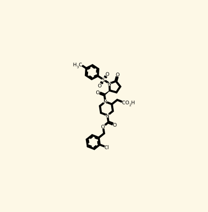 Cc1ccc(S(=O)(=O)N2C(=O)CC[C@H]2C(=O)N2CCN(C(=O)OCc3ccccc3Cl)CC2CC(=O)O)cc1